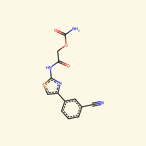 N#Cc1cccc(-c2csc(NC(=O)COC(N)=O)n2)c1